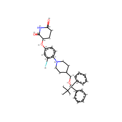 CC(C)(C)[Si](OCC1CCN(c2ccc(OC3CCC(=O)NC3=O)cc2F)CC1)(c1ccccc1)c1ccccc1